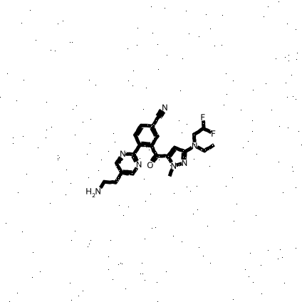 CCN(CC(F)F)c1cc(C(=O)c2cc(C#N)ccc2-c2ncc(CCN)cn2)n(C)n1